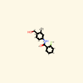 CCc1cc(NC(=O)c2ccccc2F)ccc1CO